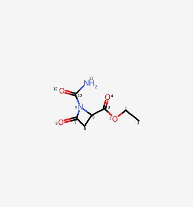 CCOC(=O)C1CC(=O)N1C(N)=O